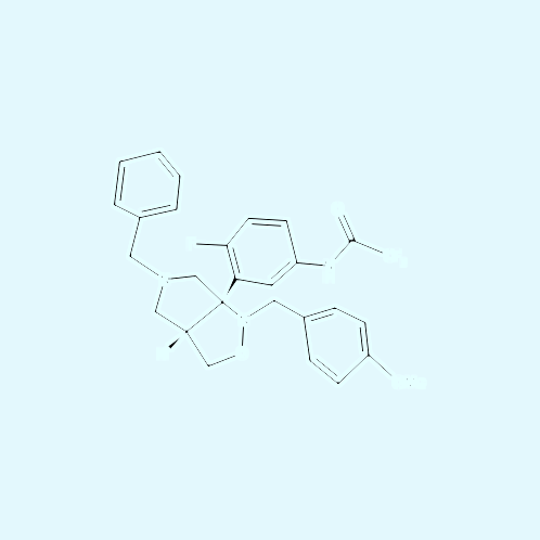 COc1ccc(CN2OC[C@@H]3CN(Cc4ccccc4)C[C@@]32c2cc(NC(=O)C(F)(F)F)ccc2F)cc1